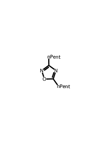 CCCCCc1noc(CCCCC)n1